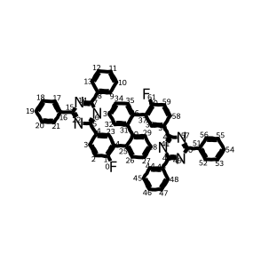 Fc1ccc(-c2nc(-c3ccccc3)nc(-c3ccccc3)n2)cc1-c1ccccc1-c1ccccc1-c1cc(-c2nc(-c3ccccc3)nc(-c3ccccc3)n2)ccc1F